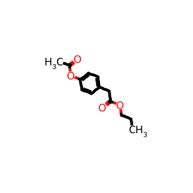 CCCOC(=O)Cc1ccc(OC(C)=O)cc1